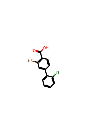 O=C(O)c1ccc(-c2ccccc2Cl)cc1S